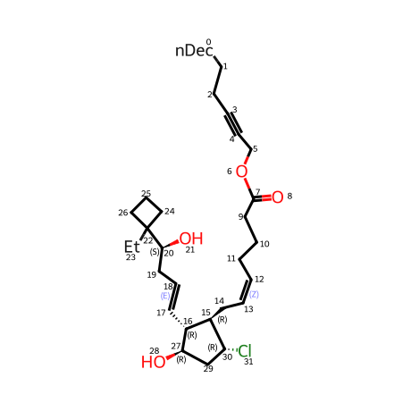 CCCCCCCCCCCCC#CCOC(=O)CCC/C=C\C[C@@H]1[C@@H](/C=C/C[C@H](O)C2(CC)CCC2)[C@H](O)C[C@H]1Cl